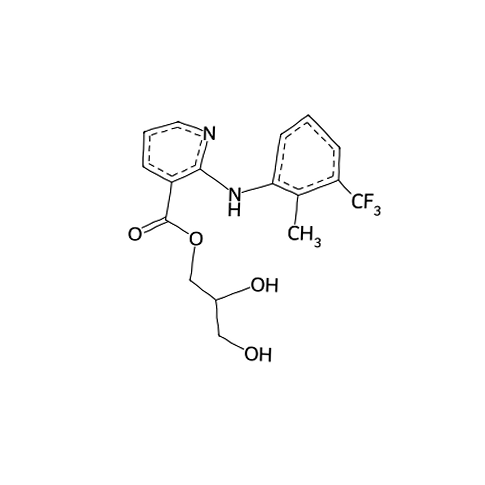 Cc1c(Nc2ncccc2C(=O)OCC(O)CO)cccc1C(F)(F)F